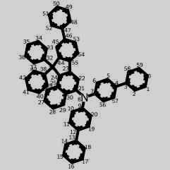 c1ccc(-c2ccc(N(c3ccc(-c4ccccc4)cc3)c3cc4c(c5ccccc35)C(c3ccccc3)(c3ccccc3)c3cc(-c5ccccc5)ccc3-4)cc2)cc1